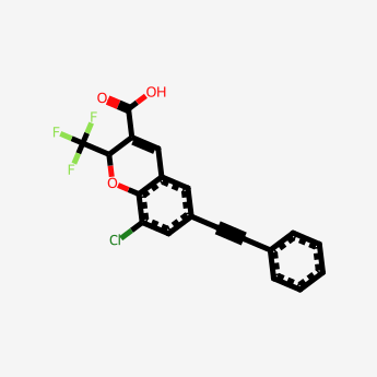 O=C(O)C1=Cc2cc(C#Cc3ccccc3)cc(Cl)c2OC1C(F)(F)F